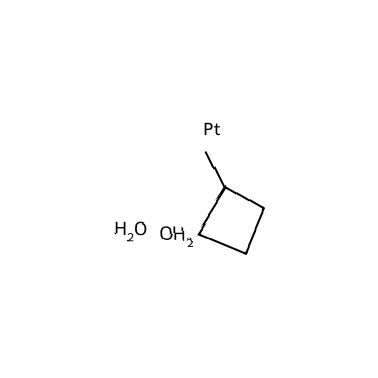 CC1CCC1.O.O.[Pt]